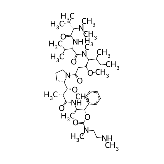 CC[C@H](C)[C@@H](C(CC(=O)N1CCC[C@H]1[C@H](OC)[C@@H](C)C(=O)N[C@H](C)[C@@H](OC(=O)N(C)CCNC)c1ccccc1)OC)N(C)C(=O)[C@@H](NC(=O)[C@H](C(C)C)N(C)C)C(C)C